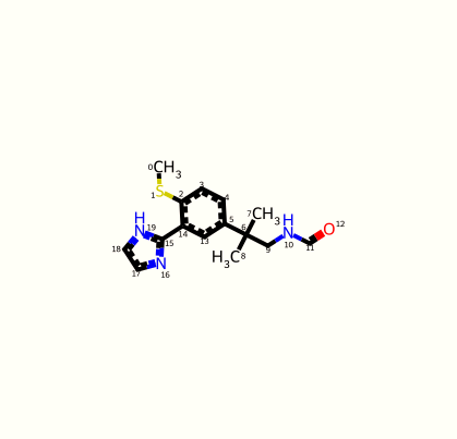 CSc1ccc(C(C)(C)CNC=O)cc1-c1ncc[nH]1